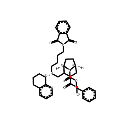 CC(C)(C)OC(=O)N1C[C@@H]2CC[C@H](C1CN(CCCCN1C(=O)c3ccccc3C1=O)[C@H]1CCCc3cccnc31)N2C(=O)OCc1ccccc1